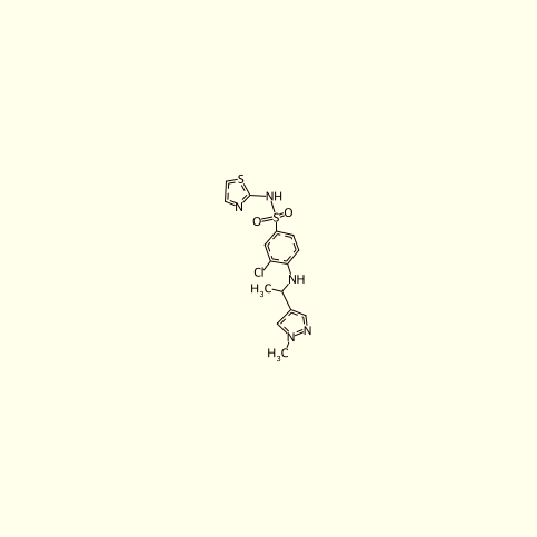 CC(Nc1ccc(S(=O)(=O)Nc2nccs2)cc1Cl)c1cnn(C)c1